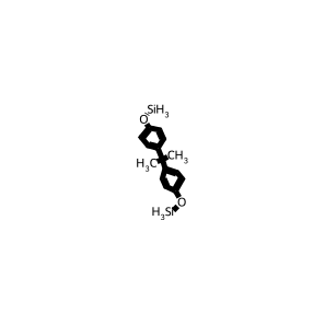 CC(C)(c1ccc(O[SiH3])cc1)c1ccc(O[SiH3])cc1